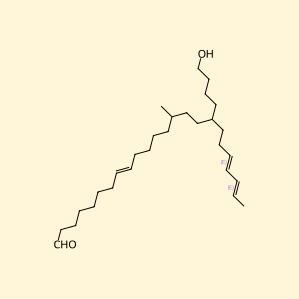 C/C=C/C=C/CCC(CCCCO)CCC(C)CCCCC=CCCCCCCC=O